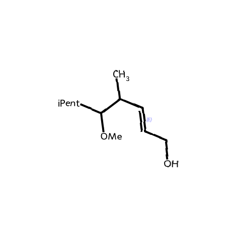 CCCC(C)C(OC)C(C)/C=C/CO